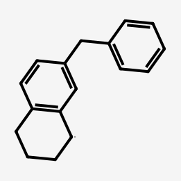 [CH]1CCCc2ccc(Cc3ccccc3)cc21